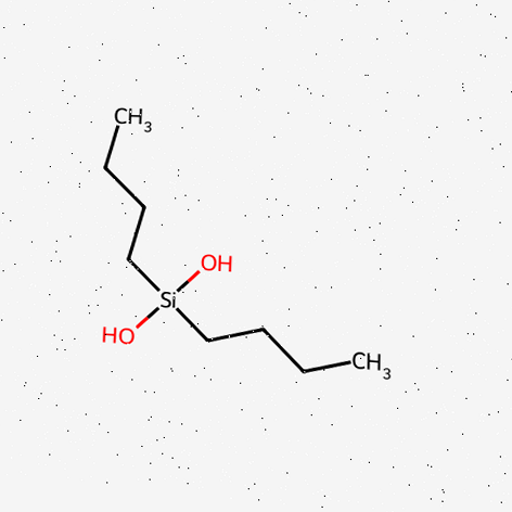 CCCC[Si](O)(O)CCCC